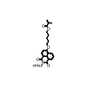 C=C(C)C(=O)OCCCCCOc1ccc2c3c(cccc13)C(=O)N(CCCCCC)C2=O